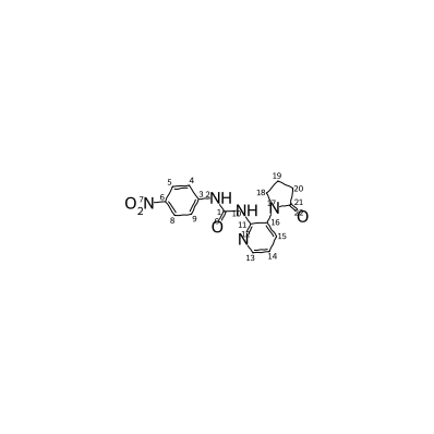 O=C(Nc1ccc([N+](=O)[O-])cc1)Nc1ncccc1N1CCCC1=O